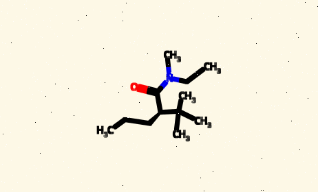 CCC[C@@H](C(=O)N(C)CC)C(C)(C)C